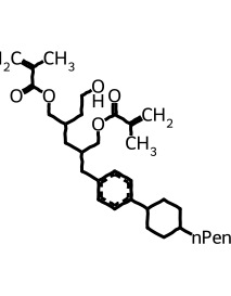 C=C(C)C(=O)OCC(CCO)CC(COC(=O)C(=C)C)Cc1ccc(C2CCC(CCCCC)CC2)cc1